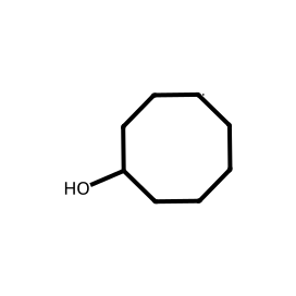 OC1CC[CH]CCCC1